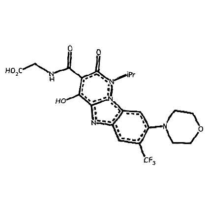 CC(C)n1c(=O)c(C(=O)NCC(=O)O)c(O)c2nc3cc(C(F)(F)F)c(N4CCOCC4)cc3n21